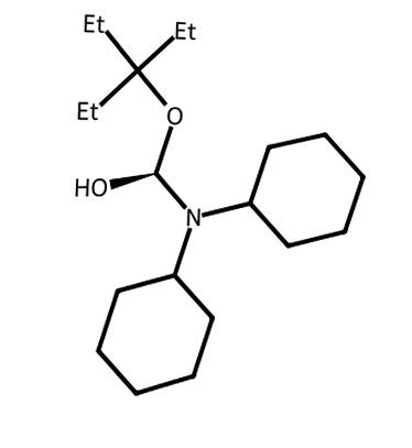 CCC(CC)(CC)O[C@H](O)N(C1CCCCC1)C1CCCCC1